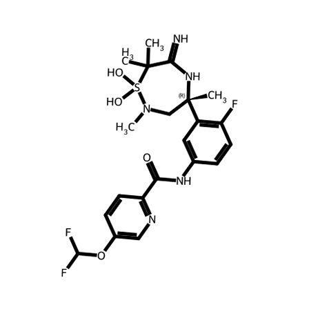 CN1C[C@@](C)(c2cc(NC(=O)c3ccc(OC(F)F)cn3)ccc2F)NC(=N)C(C)(C)S1(O)O